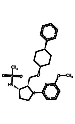 COc1cccc(N2CC[C@H](NS(C)(=O)=O)[C@@H]2CO[C@H]2CC[C@@H](c3ccccc3)CC2)n1